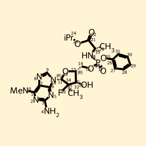 CNc1nc(N)nc2c1ncn2[C@@H]1O[C@H](CO[P@](=O)(N[C@@H](C)C(=O)OC(C)C)Oc2ccccc2)[C@@H](O)[C@@]1(C)F